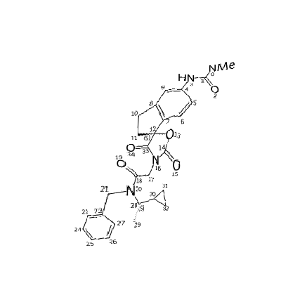 CNC(=O)Nc1ccc2c(c1)CC[C@]21OC(=O)N(CC(=O)N(Cc2ccccc2)[C@@H](C)C2CC2)C1=O